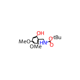 COc1cc(O)c(CNC(=O)OC(C)(C)C)c(OC)c1